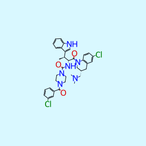 C[C@@H](c1c[nH]c2ccccc12)[C@@H](NC(=O)N1CCN(C(=O)c2cccc(Cl)c2)CC1)C(=O)N1C[C@@H](CN(C)C)Cc2cc(Cl)ccc21